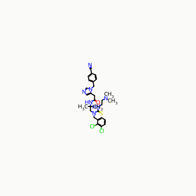 CN(C)CCNC(=S)N(Cc1cccc(Cl)c1Cl)CC(C)(C)NC(=O)Cc1cncn1Cc1ccc(C#N)cc1